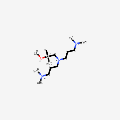 CCCN(CC)CCCN(CCCN(CC)CCC)C[Si](C)(CC)OCC